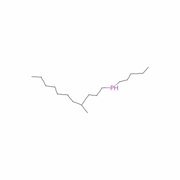 CCCCCCCC(C)CCCPCCCCC